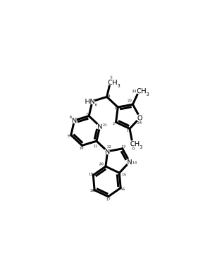 Cc1cc(C(C)Nc2nccc(-n3cnc4ccccc43)n2)c(C)o1